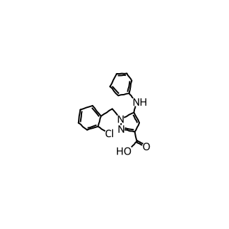 O=C(O)c1cc(Nc2ccccc2)n(Cc2ccccc2Cl)n1